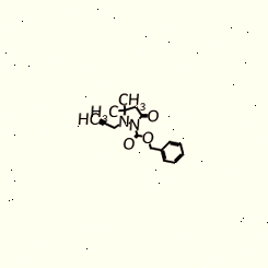 C#CCN1N(C(=O)OCc2ccccc2)C(=O)CC1(C)C